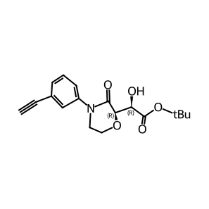 C#Cc1cccc(N2CCO[C@H]([C@@H](O)C(=O)OC(C)(C)C)C2=O)c1